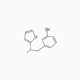 CC(Cc1cccc(O)c1)c1ccco1